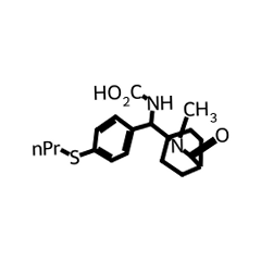 CCCSc1ccc(C(NC(=O)O)C23CCC(CC2)C(=O)N3C)cc1